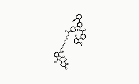 COc1cccc(F)c1-c1nccc(C(=O)Nc2ccc(-c3cnccc3C#N)cc2N2CCN(C(=O)CCOCCOCCNc3cccc4c3C(=O)N(C3CCC(=O)NC3=O)C4O)CC2)n1